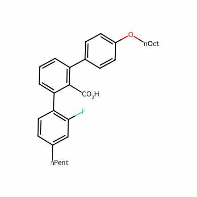 CCCCCCCCOc1ccc(-c2cccc(-c3ccc(CCCCC)cc3F)c2C(=O)O)cc1